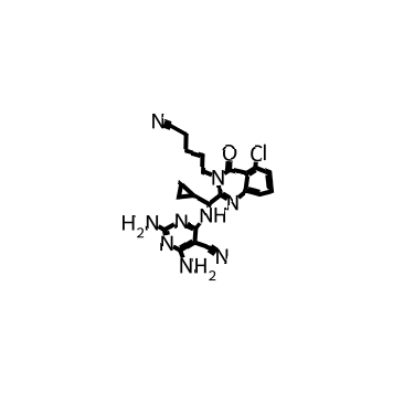 N#CCCCCn1c(C(Nc2nc(N)nc(N)c2C#N)C2CC2)nc2cccc(Cl)c2c1=O